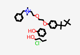 CC(C)(C)CC(C)(C)c1ccc(OCCOCC[N+](C)(C)Cc2ccccc2)cc1.CCCCO.Oc1ccccc1.[Cl-]